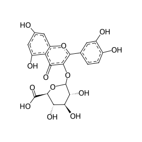 O=C(O)[C@H]1OC(Oc2c(-c3ccc(O)c(O)c3)oc3cc(O)cc(O)c3c2=O)[C@H](O)[C@@H](O)[C@@H]1O